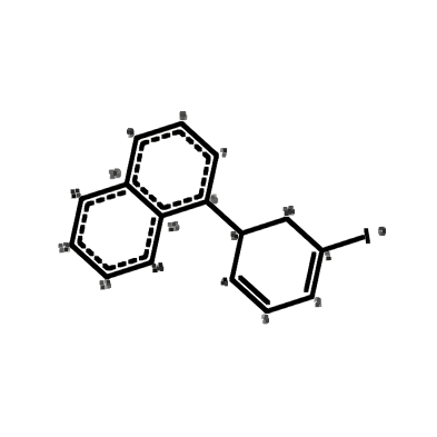 IC1=CC=CC(c2cccc3ccccc23)C1